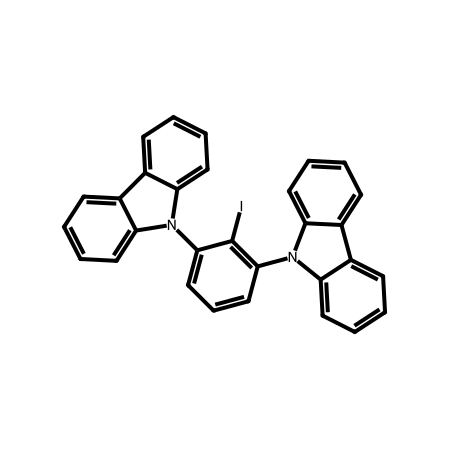 Ic1c(-n2c3ccccc3c3ccccc32)cccc1-n1c2ccccc2c2ccccc21